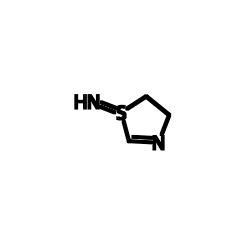 N=S1C=NCC1